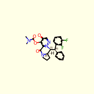 CN(C)C(=O)Oc1c2n(ncc1=O)[C@@H]([C@H](c1ccccc1)c1cccc(F)c1F)[C@H]1CCCN1C2=O